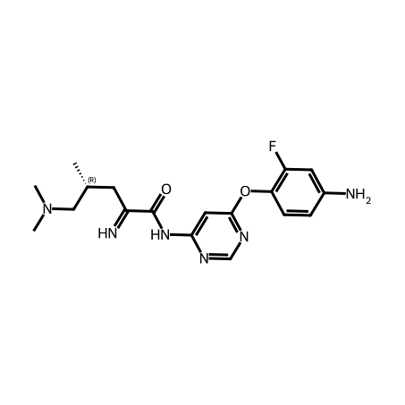 C[C@H](CC(=N)C(=O)Nc1cc(Oc2ccc(N)cc2F)ncn1)CN(C)C